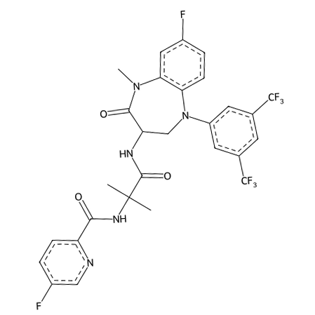 CN1C(=O)C(NC(=O)C(C)(C)NC(=O)c2ccc(F)cn2)CN(c2cc(C(F)(F)F)cc(C(F)(F)F)c2)c2ccc(F)cc21